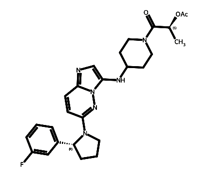 CC(=O)O[C@@H](C)C(=O)N1CCC(Nc2cnc3ccc(N4CCC[C@@H]4c4cccc(F)c4)nn23)CC1